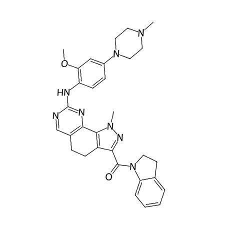 COc1cc(N2CCN(C)CC2)ccc1Nc1ncc2c(n1)-c1c(c(C(=O)N3CCc4ccccc43)nn1C)CC2